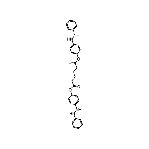 O=C(CCCCC(=O)Oc1ccc(NNc2ccccc2)cc1)Oc1ccc(NNc2ccccc2)cc1